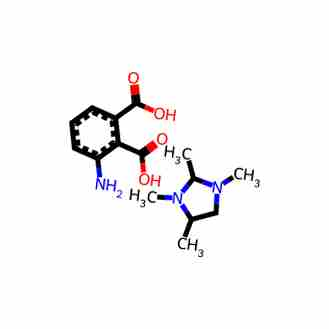 CC1CN(C)C(C)N1C.Nc1cccc(C(=O)O)c1C(=O)O